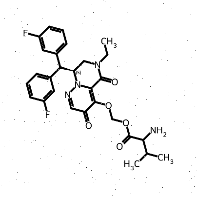 CCN1C[C@H](C(c2cccc(F)c2)c2cccc(F)c2)n2ncc(=O)c(OCOC(=O)C(N)C(C)C)c2C1=O